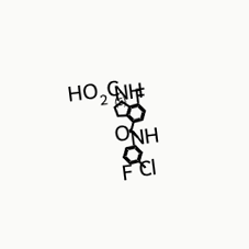 O=C(O)N[C@H]1CCc2c(C(=O)Nc3ccc(F)c(Cl)c3)ccc(F)c21